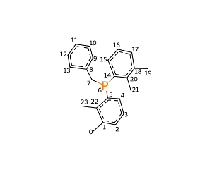 Cc1cccc(P(Cc2ccccc2)c2cccc(C)c2C)c1C